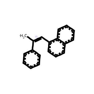 [CH2]/C(=C/c1cccc2ccccc12)c1ccccc1